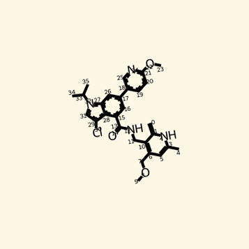 C=C1NC(C)=CC(COC)=C1CNC(=O)c1cc(-c2ccc(OC)nc2)cc2c1c(Cl)cn2C(C)C